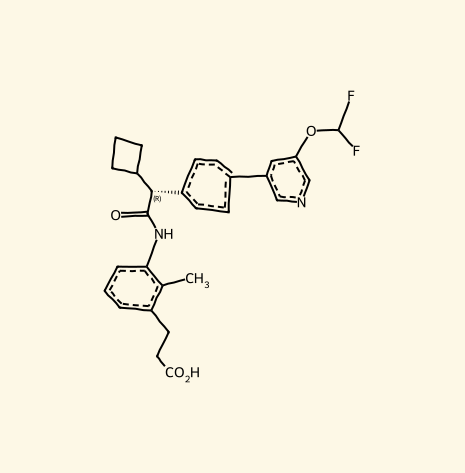 Cc1c(CCC(=O)O)cccc1NC(=O)[C@@H](c1ccc(-c2cncc(OC(F)F)c2)cc1)C1CCC1